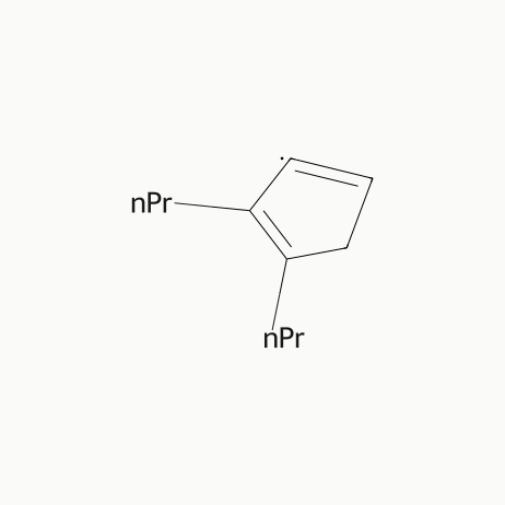 CCCC1=C(CCC)CC=[C]1